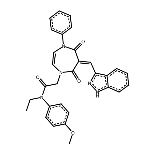 CCN(C(=O)CN1C=CN(c2ccccc2)C(=O)C(=Cc2n[nH]c3ccccc23)C1=O)c1ccc(OC)cc1